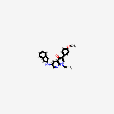 CCn1cc(-c2ccc(OC)cc2)c(=O)c2cc(NC3Cc4ccccc4C3)cnc21